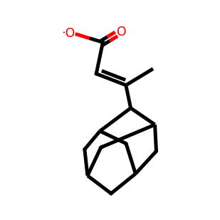 CC(=CC([O])=O)C1C2CC3CC(C2)CC1C3